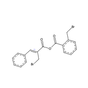 O=C(OC(=O)c1ccccc1CBr)/C(=C/c1ccccc1)CBr